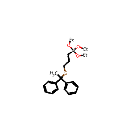 CCO[Si](CCCSC(C)(c1ccccc1)c1ccccc1)(OCC)OCC